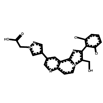 O=C(O)Cn1cc(-c2cnc3ccn4c(CO)c(-c5c(Cl)cccc5Cl)nc4c3c2)cn1